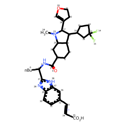 CCCCC(NC(=O)C1CCC2C(C3CCC(F)(F)C3)C(C3=COCC3)N(C)C2C1)c1nc2ccc(/C=C/C(=O)O)cc2[nH]1